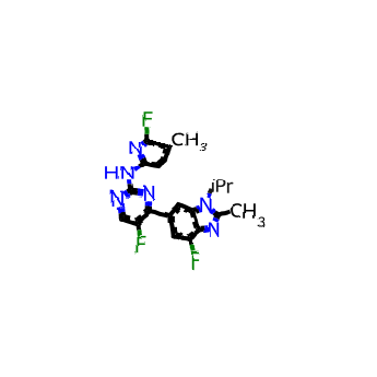 Cc1ccc(Nc2ncc(F)c(-c3cc(F)c4nc(C)n(C(C)C)c4c3)n2)nc1F